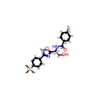 CS(C)(C)c1ccc(-c2noc([C@H](CO)NC(=O)c3ccc(F)cc3)n2)cc1